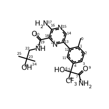 Cc1ccc(C(O)(C(N)=O)C(F)(F)F)cc1-c1cnc(N)c(C(=O)NCC(C)(C)O)n1